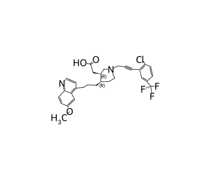 COc1ccc2nccc(CCC[C@@H]3CCN(CC#Cc4cc(C(F)(F)F)ccc4Cl)C[C@@H]3CC(=O)O)c2c1